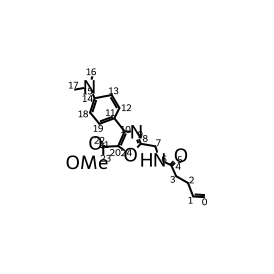 C=CCCC(=O)NCc1nc(-c2ccc(N(C)C)cc2)c(C(=O)OC)o1